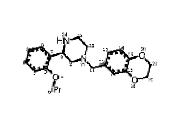 CC(C)Oc1ccccc1C1CN(Cc2ccc3c(c2)OCCO3)CCN1